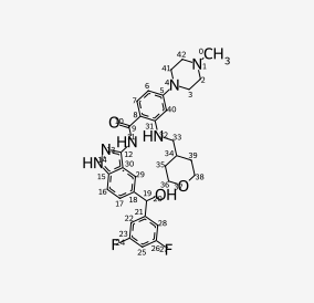 CN1CCN(c2ccc(C(=O)Nc3n[nH]c4ccc(C(O)c5cc(F)cc(F)c5)cc34)c(NCC3CCOCC3)c2)CC1